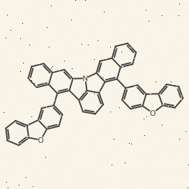 c1ccc2c(-c3ccc4oc5ccccc5c4c3)c3c4cccc5c6c(-c7ccc8oc9ccccc9c8c7)c7ccccc7cc6n(c3cc2c1)c45